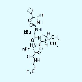 C=CCNC(=O)C(=O)C(CCC)NC(=O)[C@@H]1[C@@H]2[C@H](CN1C(=O)[C@@H](NC(=O)N[C@H](C(=O)C1CCC1)C(C)C)C(C)(C)C)C2(C)C